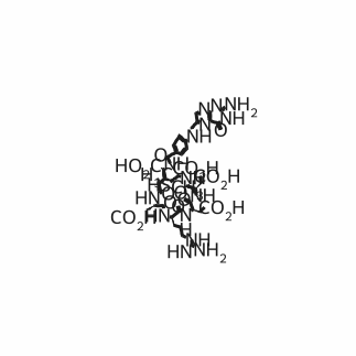 CC(C)(S)[C@@H](NC(=O)[C@@H](CC(=O)O)NC(=O)[C@@H](CC(=O)O)NC(=O)[C@@H](CCCNC(=N)N)NC(=O)[C@@H](CC(=O)O)NC(=O)CC[C@@H](NC(=O)c1ccc(NCc2cnc3nc(N)[nH]c(=O)c3n2)cc1)C(=O)O)C(=O)O